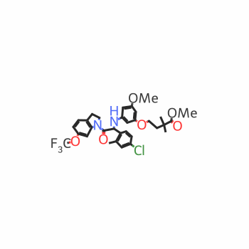 COC(=O)C(C)(C)CCOc1cc(NC(C(=O)N2CCc3ccc(OC(F)(F)F)cc32)c2ccc(Cl)cc2C)cc(OC)c1